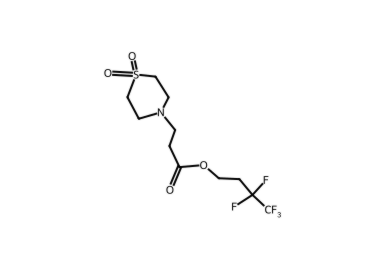 O=C(CCN1CCS(=O)(=O)CC1)OCCC(F)(F)C(F)(F)F